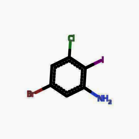 Nc1cc(Br)cc(Cl)c1I